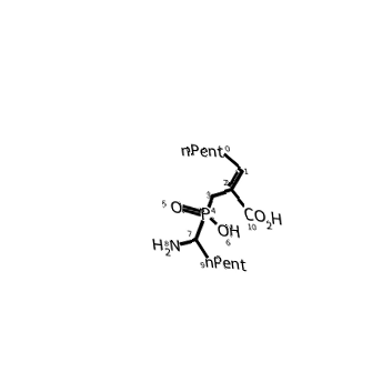 CCCCCC=C(CP(=O)(O)C(N)CCCCC)C(=O)O